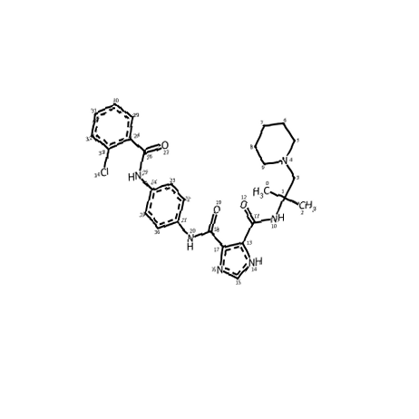 CC(C)(CN1CCCCC1)NC(=O)c1[nH]cnc1C(=O)Nc1ccc(NC(=O)c2ccccc2Cl)cc1